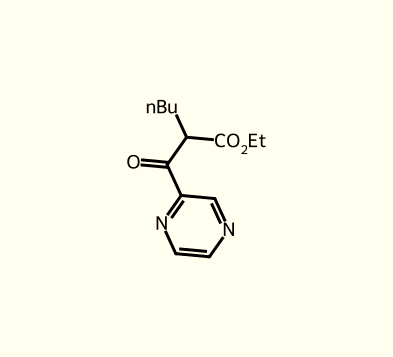 CCCCC(C(=O)OCC)C(=O)c1cnccn1